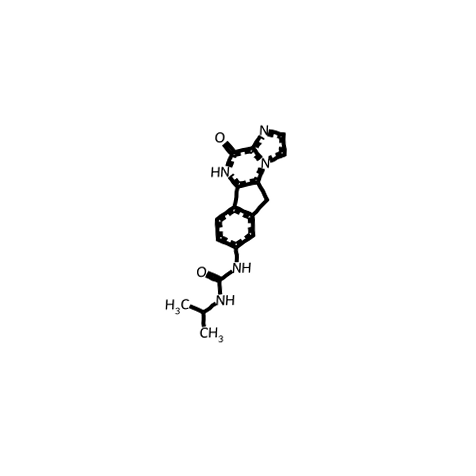 CC(C)NC(=O)Nc1ccc2c(c1)Cc1c-2[nH]c(=O)c2nccn12